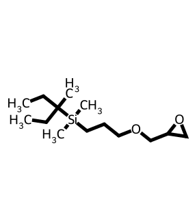 CCC(C)(CC)[Si](C)(C)CCCOCC1CO1